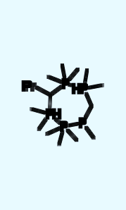 CC(C)C1[PH](C)(C)P(C)(C)(C)P(C)C[PH](C)(C)P1(C)(C)C